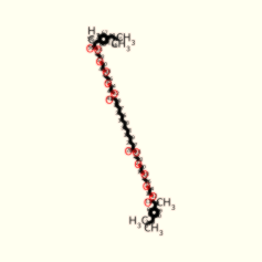 CC(C)Cc1ccc(C(C)C(=O)OCCOCCOCCOCCOC(=O)CCCCCCCCCCCCCC(=O)OCCOCCOCCOCCOC(=O)C(C)c2ccc(CC(C)C)cc2)cc1